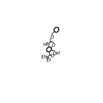 CCN(CC)C(=O)c1ccc2c(c1CO)OC[C@H](COCc1ccccc1)N2